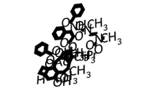 CC(=O)O[C@@]12CC[C@@H]1C[C@H](O)[C@@]1(C)C(=O)[C@H](C)C3=C(C)[C@@H](OC(=O)[C@H](OC(=O)N(C)CCN(C)C(=O)OC(C)C)[C@@H](NC(=O)c4ccccc4)c4ccccc4)C[C@@](O)([C@@H](OC(=O)c4ccccc4)C12)C3(C)C